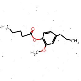 CCCCC(=O)Oc1ccc(CCC)cc1OC